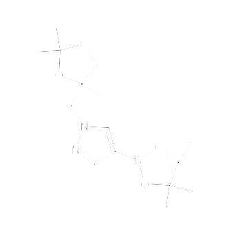 CC1(Cn2cc(B3OC(C)(C)C(C)(C)O3)cn2)COC(C)(C)O1